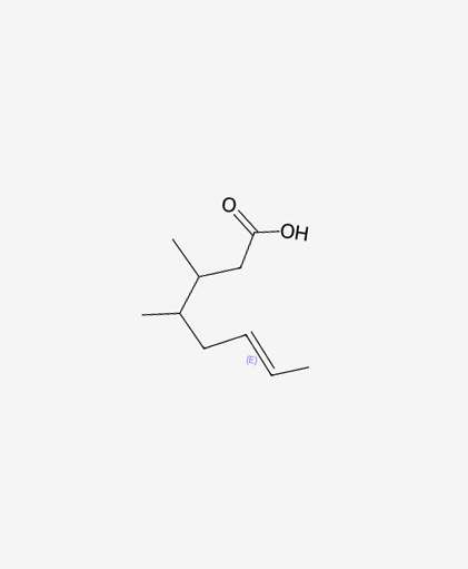 C/C=C/CC(C)C(C)CC(=O)O